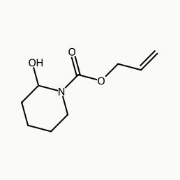 C=CCOC(=O)N1CCCCC1O